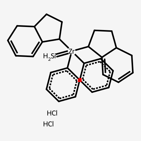 Cl.Cl.[SiH2]=[Zr]([c]1ccccc1)([c]1ccccc1)([CH]1CCC2CC=CC=C21)[CH]1CCC2CC=CC=C21